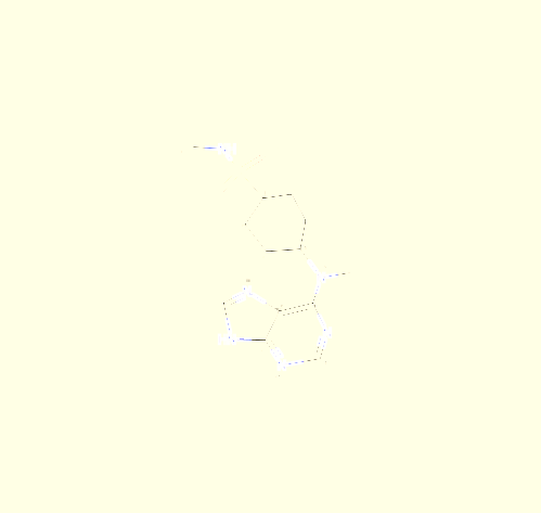 CNS(=O)(=O)C1CCC(N(C)c2ncnc3[nH]cnc23)CC1